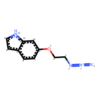 [N-]=[N+]=NCCOc1ccc2cc[nH]c2c1